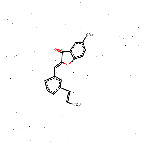 COc1ccc2c(c1)C(=O)/C(=C/c1cccc(/C=C/C(=O)O)c1)O2